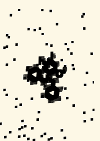 COc1cc(I)c(F)cc1N(Cc1ccccc1)Cc1ccccc1